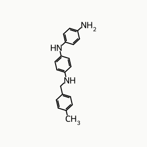 Cc1ccc(CNc2ccc(Nc3ccc(N)cc3)cc2)cc1